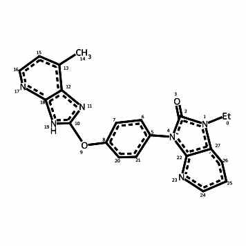 CCn1c(=O)n(-c2ccc(Oc3nc4c(C)ccnc4[nH]3)cc2)c2ncccc21